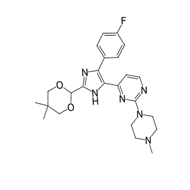 CN1CCN(c2nccc(-c3[nH]c(C4OCC(C)(C)CO4)nc3-c3ccc(F)cc3)n2)CC1